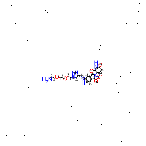 NCCOCCOCCn1cc(CNc2ccc3c(c2)C[N+]([O-])(C2CCC(=O)NC2=O)C3=O)nn1